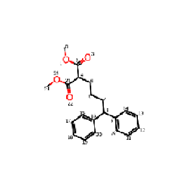 COC(=O)C(CCCC(c1ccccc1)c1ccccc1)C(=O)OC